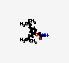 CC(C)CCc1ccc(OCC([NH])=O)c(CCC(C)C)c1